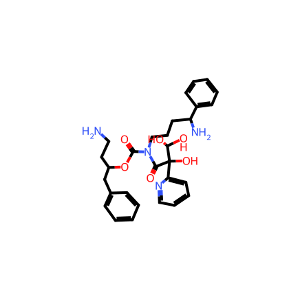 NCCC(Cc1ccccc1)OC(=O)N(CCCC(N)c1ccccc1)C(=O)C(O)(c1ccccn1)C(O)O